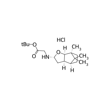 CC(C)(C)OC(=O)CN[C@H]1C[C@H]2[C@@H](O1)[C@@]1(C)CC[C@@H]2C1(C)C.Cl